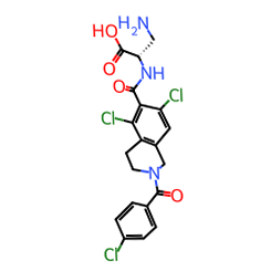 NC[C@H](NC(=O)c1c(Cl)cc2c(c1Cl)CCN(C(=O)c1ccc(Cl)cc1)C2)C(=O)O